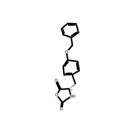 O=C1N[C@@H](Cc2ccc(OCc3ccccc3)cc2)C(=O)O1